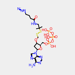 CC(C)(CNC(=O)CCCN=[N+]=[N-])SSCOC1C[C@H](n2cnc3c(N)ncnc32)O[C@@H]1COP(=O)(O)OP(=O)(O)OP(=O)(O)O